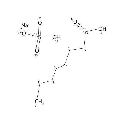 CCCCCCCC(=O)O.O=S(=O)([O-])O.[Na+]